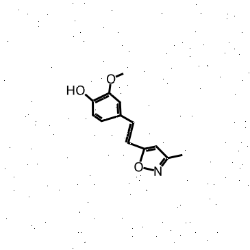 COc1cc(C=Cc2cc(C)no2)ccc1O